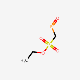 CCOS(=O)(=O)CP=O